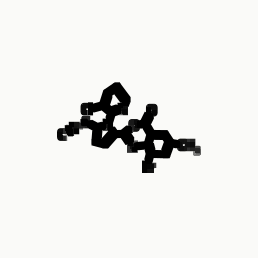 [C-]#[N+]Sc1ccc(-c2nc3c(Br)cc(C)cc3c(=O)o2)n1-c1ncccc1Cl